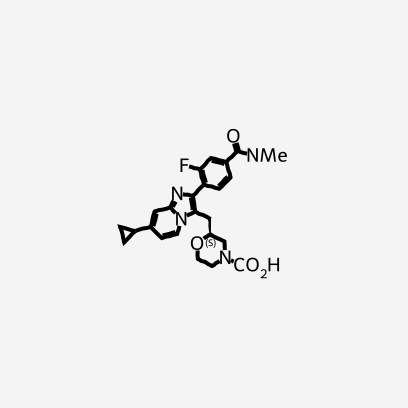 CNC(=O)c1ccc(-c2nc3cc(C4CC4)ccn3c2C[C@H]2CN(C(=O)O)CCO2)c(F)c1